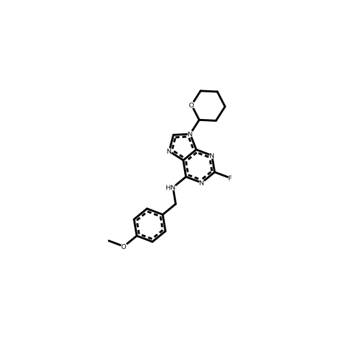 COc1ccc(CNc2nc(F)nc3c2ncn3C2CCCCO2)cc1